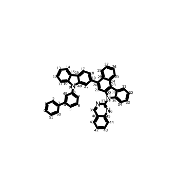 c1ccc(-c2cccc(-n3c4ccccc4c4ccc(-c5cc6c(c7ccccc57)c5ccccc5n6-c5ncc6ccccc6n5)cc43)c2)cc1